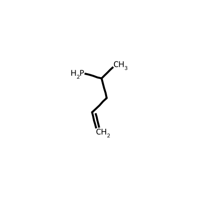 C=CCC(C)P